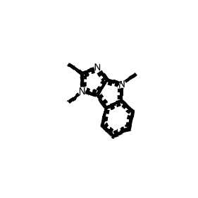 Cc1nc2c(c3ccccc3n2C)n1C